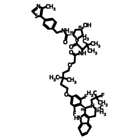 Cc1ncsc1-c1ccc(CNC(=O)[C@@H]2C[C@@H](O)CN2C(=O)C(NC(=O)COCCC(C)(C)CCOc2cc(F)c([C@@H]3c4[nH]c5ccccc5c4C[C@@H](C)N3CC(C)(C)F)c(F)c2)C(C)(C)C)cc1